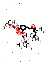 CC(C)OCCOC(=O)C1CCC(CCC2OC2(C)CCC2OC2(C)C)CC1C(=O)OCCOC(C)C